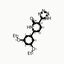 CCOc1cc(OCC)cc(-c2ccc(-c3nnn[nH]3)c(=O)[nH]2)c1